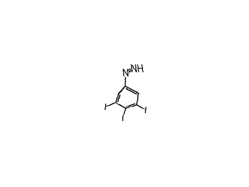 N=Nc1cc(I)c(I)c(I)c1